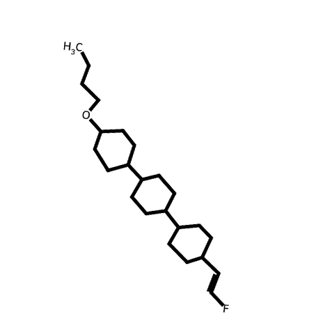 CCCCOC1CCC(C2CCC(C3CCC(/C=C/F)CC3)CC2)CC1